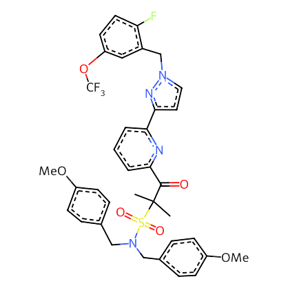 COc1ccc(CN(Cc2ccc(OC)cc2)S(=O)(=O)C(C)(C)C(=O)c2cccc(-c3ccn(Cc4cc(OC(F)(F)F)ccc4F)n3)n2)cc1